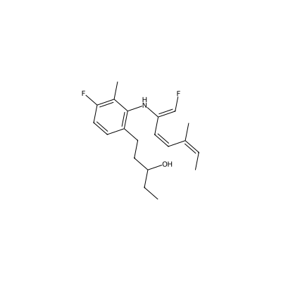 C\C=C(C)/C=C\C(=C\F)Nc1c(CCC(O)CC)ccc(F)c1C